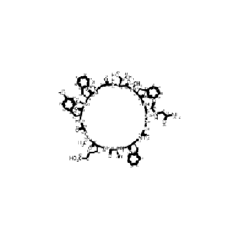 CC(C)[C@@H]1NC(=O)[C@H](Cc2ccccc2)NC(=O)CSC[C@@H](C(=O)NCC(N)=O)NC(=O)[C@H](Cc2ccccc2)N(C)C(=O)[C@H]([C@@H](C)O)NC(=O)CN(C)C(=O)[C@H](Cc2ccccc2)N(C)C(=O)[C@H](Cc2ccc(O)cc2)NC(=O)CN(C)C(=O)[C@H](CCCC(=O)O)NC1=O